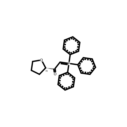 O=C(C=P(c1ccccc1)(c1ccccc1)c1ccccc1)[C@@H]1CCCO1